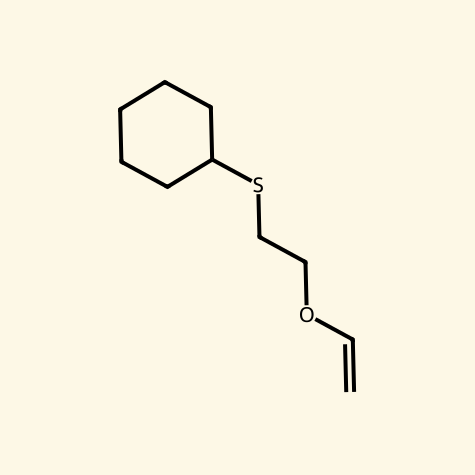 C=COCCSC1CCCCC1